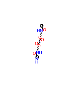 O=C(/C=C/C(=O)OCCCNC(=O)c1cc[nH]c1)OCCCNC(=O)C1=CCC=C1